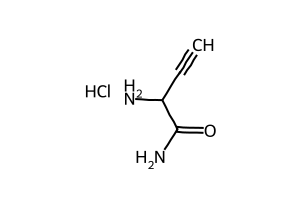 C#CC(N)C(N)=O.Cl